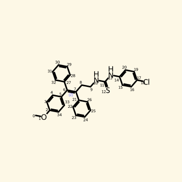 COc1ccc(/C(=C(/CCNC(=S)Nc2ccc(Cl)cc2)c2ccccc2)c2ccccc2)cc1